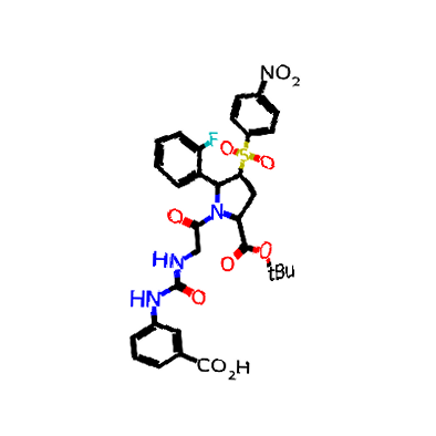 CC(C)(C)OC(=O)C1CC(S(=O)(=O)c2ccc([N+](=O)[O-])cc2)C(c2ccccc2F)N1C(=O)CNC(=O)Nc1cccc(C(=O)O)c1